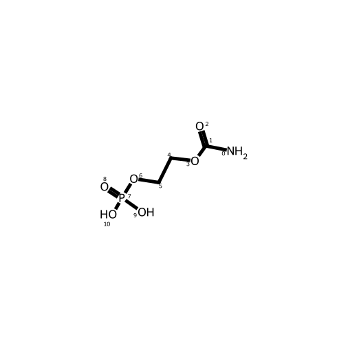 NC(=O)OCCOP(=O)(O)O